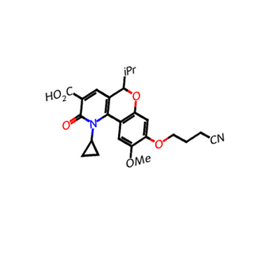 COc1cc2c(cc1OCCCC#N)OC(C(C)C)c1cc(C(=O)O)c(=O)n(C3CC3)c1-2